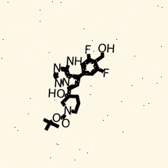 CC(C)(C)OC(=O)N1CCCC(O)(c2cc(-c3cc(F)c(CO)c(F)c3)c3c(N)ncnn23)C1